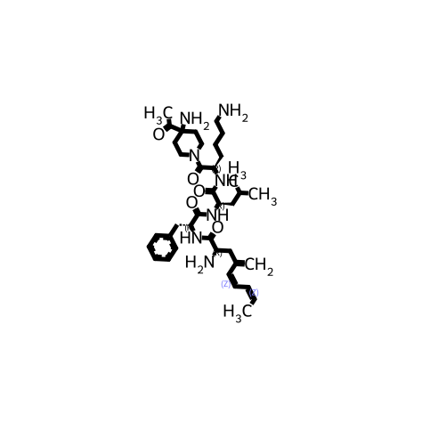 C=C(/C=C\C=C/C)C[C@@H](N)C(=O)N[C@H](Cc1ccccc1)C(=O)N[C@H](CC(C)C)C(=O)N[C@H](CCCCN)C(=O)N1CCC(N)(C(C)=O)CC1